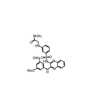 COc1cc(Nc2nc3ccccc3nc2NS(=O)(=O)c2cccc(NCC(=O)NC(C)=O)c2)cc(OC)c1